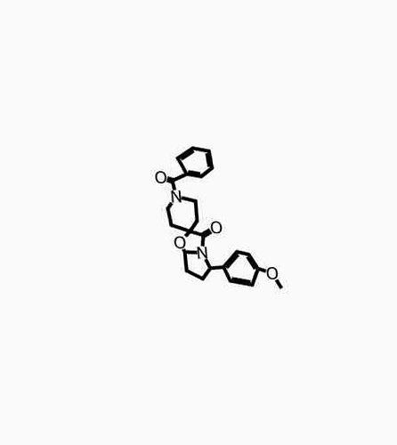 COc1ccc(C2CCC3OC4(CCN(C(=O)c5ccccc5)CC4)C(=O)N32)cc1